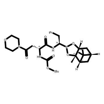 CC(C)C[C@H](NC(=O)[C@@H](CC(=O)N1CCOCC1)NC(=O)OC(C)(C)C)B1O[C@@H]2C[C@@H]3C[C@@H](C3(C)C)[C@]2(C)O1